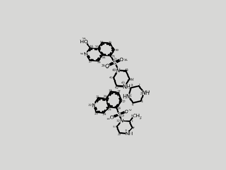 C1CNCCN1.CC1CNCCN1S(=O)(=O)c1cccc2cnccc12.O=S(=O)(c1cccc2c(O)nccc12)N1CCNCC1